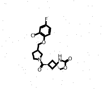 O=C1N[C@]2(CO1)C[C@H](C(=O)N1CCC(COc3ccc(F)cc3Cl)C1)C2